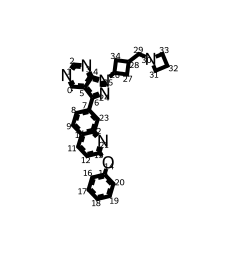 [c]1ncnc2c1c(-c1ccc3ccc(Oc4ccccc4)nc3c1)nn2C1CC(CN2CCC2)C1